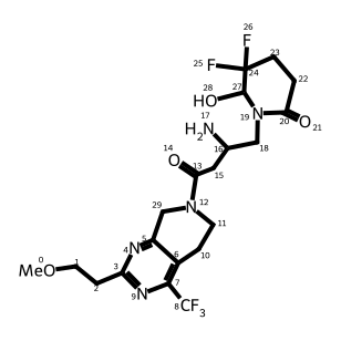 COCCc1nc2c(c(C(F)(F)F)n1)CCN(C(=O)CC(N)CN1C(=O)CCC(F)(F)C1O)C2